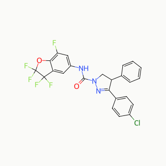 O=C(Nc1cc(F)c2c(c1)C(F)(F)C(F)(F)O2)N1CC(c2ccccc2)C(c2ccc(Cl)cc2)=N1